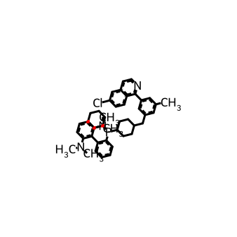 Cc1cc(CC2CCC(P(c3ccccc3-c3c(N(C)C)cccc3N(C)C)C3CCCCC3)CC2)cc(-c2nccc3cc(Cl)ccc23)c1